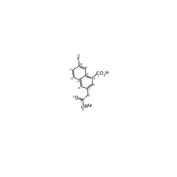 COC(=O)Cc1cc(C(=O)O)c2cc(F)ccc2c1